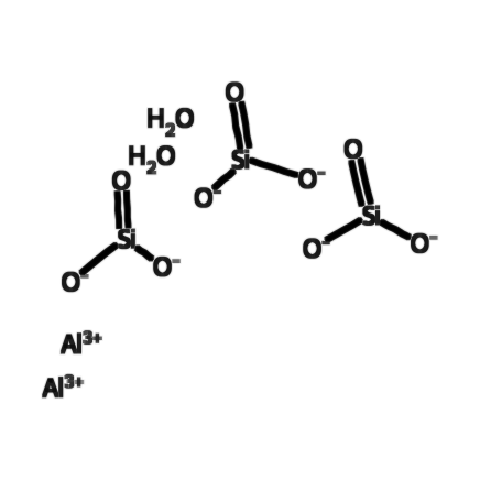 O.O.O=[Si]([O-])[O-].O=[Si]([O-])[O-].O=[Si]([O-])[O-].[Al+3].[Al+3]